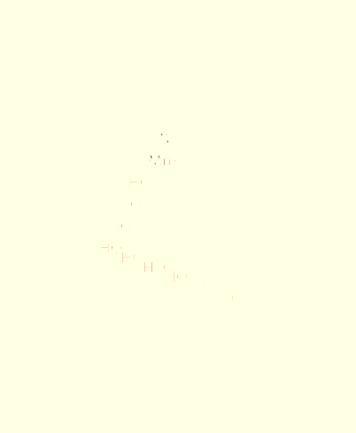 [Co+2].[K+].[Mn+2].[Ni+2].[OH-].[OH-].[OH-].[OH-].[OH-].[OH-].[OH-]